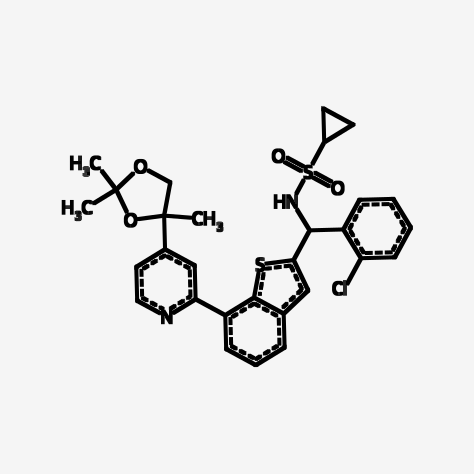 CC1(C)OCC(C)(c2ccnc(-c3cccc4cc(C(NS(=O)(=O)C5CC5)c5ccccc5Cl)sc34)c2)O1